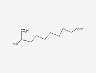 CCCCCCCCCCCCCCCCC(CCCC)C(=O)O